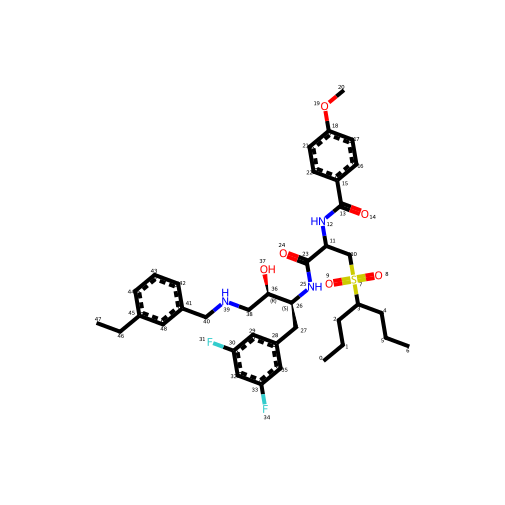 CCCC(CCC)S(=O)(=O)CC(NC(=O)c1ccc(OC)cc1)C(=O)N[C@@H](Cc1cc(F)cc(F)c1)[C@H](O)CNCc1cccc(CC)c1